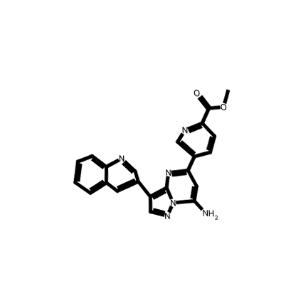 COC(=O)c1ccc(-c2cc(N)n3ncc(-c4cnc5ccccc5c4)c3n2)cn1